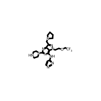 FC(F)(F)COCCn1nc(CN2CCCC2)c2nc(N3CCNCC3)nc(Nc3ccncn3)c21